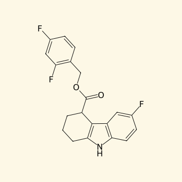 O=C(OCc1ccc(F)cc1F)C1CCCc2[nH]c3ccc(F)cc3c21